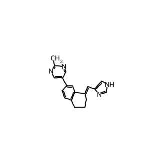 Cc1ncc(-c2ccc3c(c2)/C(=C/c2c[nH]cn2)CCC3)cn1